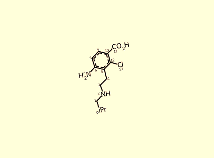 CC(C)CNCCc1c(N)ccc(C(=O)O)c1Cl